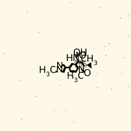 CCn1cc(-c2ccc3c(c2)[C@H](NC(=O)O)[C@@H](C)[C@H](C2CC2)N3C(C)=O)cn1